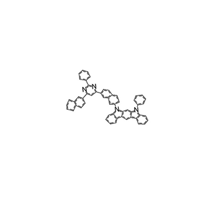 c1ccc(-c2nc(-c3ccc4ccccc4c3)cc(-c3ccc4ccc(-n5c6ccccc6c6cc7c8ccccc8n(-c8ccccc8)c7cc65)cc4c3)n2)cc1